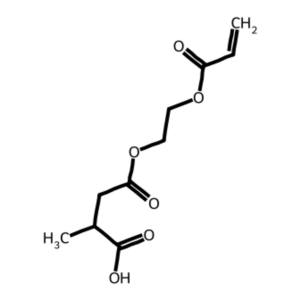 C=CC(=O)OCCOC(=O)CC(C)C(=O)O